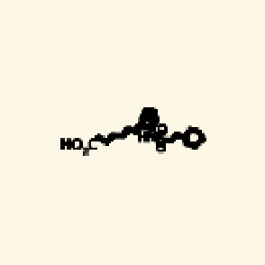 O=C(O)CCC/C=C/CC1C2CCC(CC2)C1NS(=O)(=O)CCC1CCCCC1